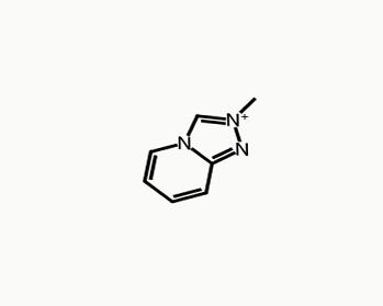 C[n+]1cn2ccccc2n1